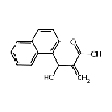 C=C(C(=O)O)C(O)c1cccc2ccccc12